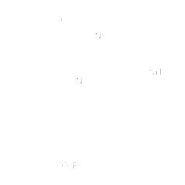 CCOC(=O)c1ccc2cc3n(c2c1)CC(CN)NC3=O